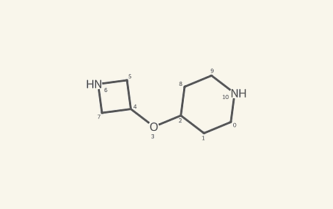 C1CC(OC2CNC2)CCN1